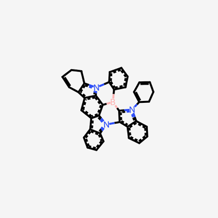 C1=CCCC(n2c3c(c4ccccc42)-n2c4ccccc4c4cc5c6c(n7c5c(c42)B3c2ccccc2-7)CCC=C6)=C1